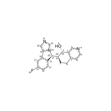 O[C@@H]1c2cnccc2CC[C@H]1[C@H]1c2ccc(F)cc2-c2cncn21